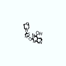 Oc1nc(Oc2ncc(N3CCOCC3)s2)nc2cnccc12